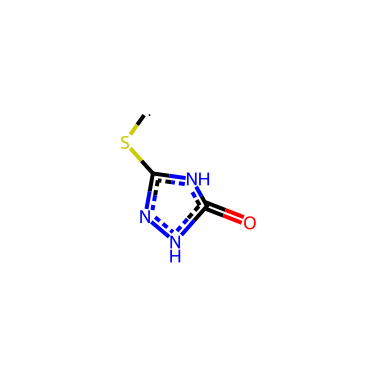 [CH2]Sc1n[nH]c(=O)[nH]1